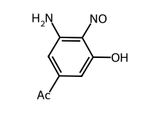 CC(=O)c1cc(N)c(N=O)c(O)c1